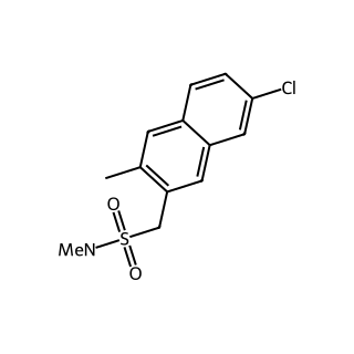 CNS(=O)(=O)Cc1cc2cc(Cl)ccc2cc1C